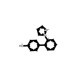 Oc1ccc(-c2ccccc2-n2cccn2)cc1